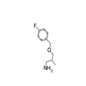 CC(CN)COCc1ccc(F)cc1